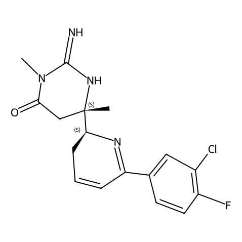 CN1C(=N)N[C@](C)([C@@H]2CC=CC(c3ccc(F)c(Cl)c3)=N2)CC1=O